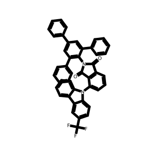 O=C1c2cccc(-n3c4ccccc4c4cc(C(F)(F)F)ccc43)c2C(=O)N1c1c(-c2ccccc2)cc(-c2ccccc2)cc1-c1ccccc1